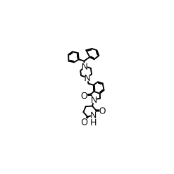 O=C1CCC(N2Cc3cccc(CN4CCN(C(c5ccccc5)c5ccccc5)CC4)c3C2=O)C(=O)N1